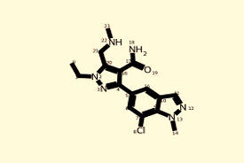 CCn1nc(-c2cc(Cl)c3c(cnn3C)c2)c(C(N)=O)c1CNC